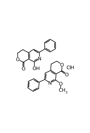 COc1nc(-c2ccccc2)cc2c1C(=O)OCC2.Cl.O=C1OCCc2cc(-c3ccccc3)nc(O)c21